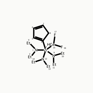 CC[N](CC)[Zr]([C]1=CC=CC1)([N](CC)CC)([N](CC)CC)[GeH]([F])[F]